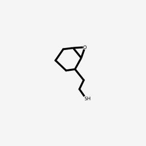 SCCC1CCCC2OC12